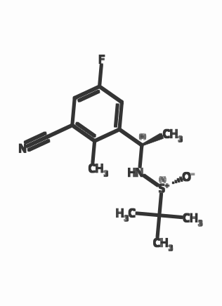 Cc1c(C#N)cc(F)cc1[C@@H](C)N[S@+]([O-])C(C)(C)C